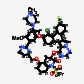 COc1ccccc1-c1nccc(COc2ccccc2CC(Oc2ncnn3cc4c5ccc(F)cc5c5c(Cl)c(OCCN6CCN(C)CC6)ccc5c4c23)C(=O)NS(=O)(=O)C(C)C)n1